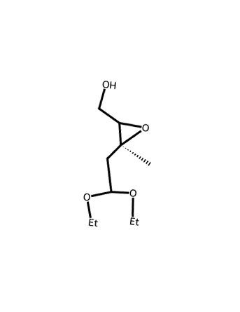 CCOC(C[C@]1(C)OC1CO)OCC